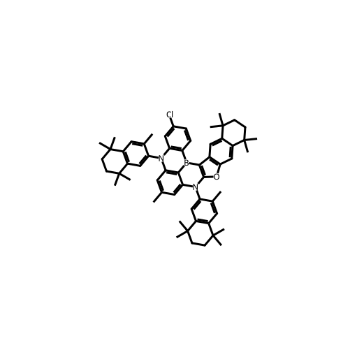 Cc1cc2c3c(c1)N(c1cc4c(cc1C)C(C)(C)CCC4(C)C)c1oc4cc5c(cc4c1B3c1ccc(Cl)cc1N2c1cc2c(cc1C)C(C)(C)CCC2(C)C)C(C)(C)CCC5(C)C